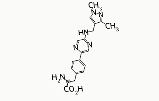 Cc1nn(C)cc1CNc1cnc(-c2ccc(C[C@H](N)C(=O)O)cc2)cn1